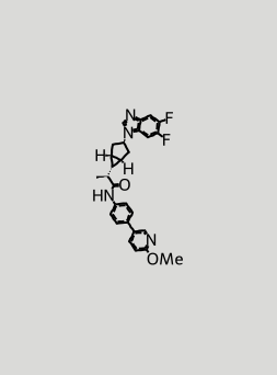 COc1ccc(-c2ccc(NC(=O)[C@@H](C)[C@@H]3[C@@H]4C[C@H](n5cnc6cc(F)c(F)cc65)C[C@@H]43)cc2)cn1